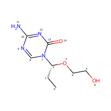 CC[C@@H](OCCO)n1cnc(N)nc1=O